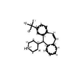 FC(F)(F)c1ccc2c(c1)C(C1CCNCC1)c1ccccc1C=C2